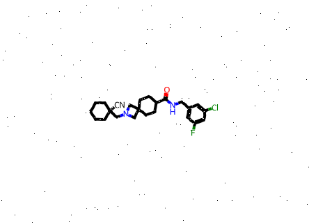 N#CC1(CN2CC3(CCC(C(=O)NCc4cc(F)cc(Cl)c4)CC3)C2)CCCCC1